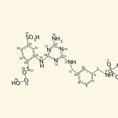 CS(=O)(=O)NCc1cccc(CNc2nc(N)nc(Nc3cc(S(=O)(=O)O)ccc3SOOO)n2)c1